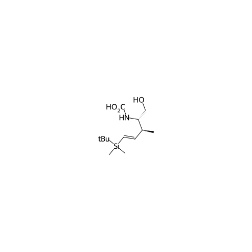 C[C@@H](C=C[Si](C)(C)C(C)(C)C)[C@@H](CO)NC(=O)O